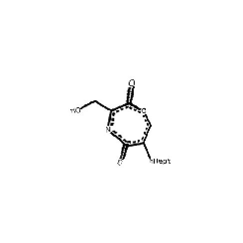 CCCCCCCc1coc(=O)c(CO)nc1=O